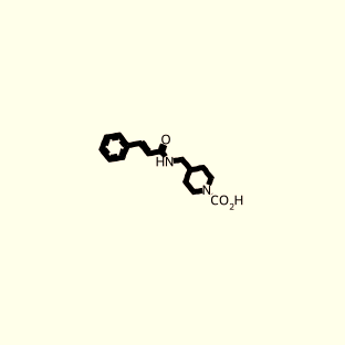 O=C(/C=C/c1ccccc1)NCC1CCN(C(=O)O)CC1